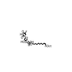 CCCCCCCC/C=C\CCCCCCCCOP(=O)(O)OC[C@H]1O[C@@H](n2cc(F)c(=O)[nH]c2=O)C[C@@]1(O)C(C)=O